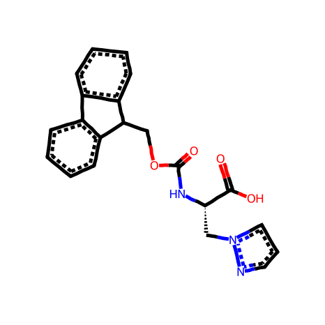 O=C(N[C@@H](Cn1cccn1)C(=O)O)OCC1c2ccccc2-c2ccccc21